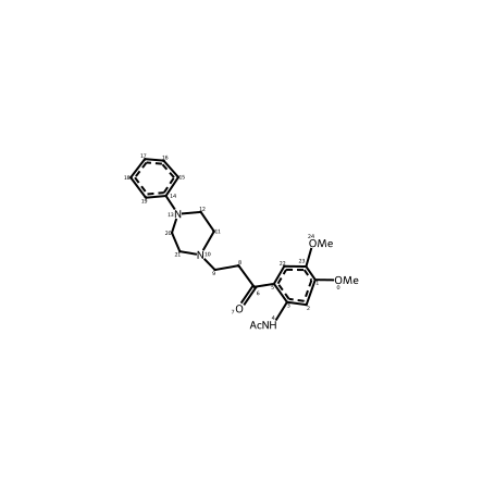 COc1cc(NC(C)=O)c(C(=O)CCN2CCN(c3ccccc3)CC2)cc1OC